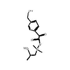 CC(O)C[N+](C)(C)[N-]C(=O)C(=O)c1ccc(CO)cc1